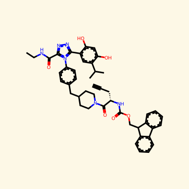 C#CC[C@H](NC(=O)OCC1c2ccccc2-c2ccccc21)C(=O)N1CCC(Cc2ccc(-n3c(C(=O)NCC)nnc3-c3cc(C(C)C)c(O)cc3O)cc2)CC1